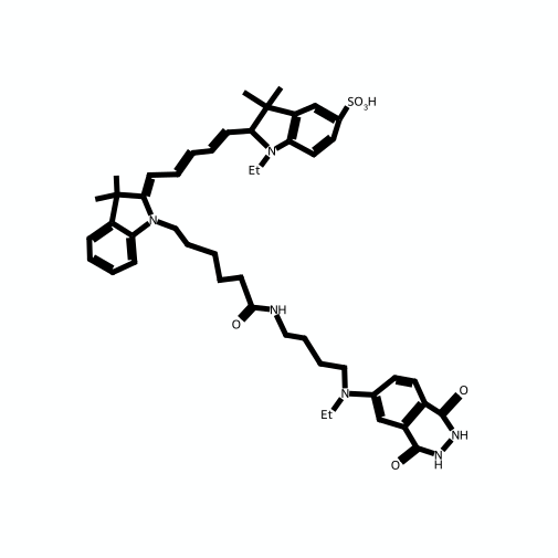 CCN(CCCCNC(=O)CCCCCN1\C(=C/C=C/C=C/C2N(CC)c3ccc(S(=O)(=O)O)cc3C2(C)C)C(C)(C)c2ccccc21)c1ccc2c(=O)[nH][nH]c(=O)c2c1